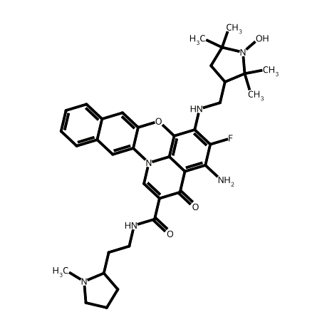 CN1CCCC1CCNC(=O)c1cn2c3c(c(NCC4CC(C)(C)N(O)C4(C)C)c(F)c(N)c3c1=O)Oc1cc3ccccc3cc1-2